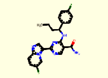 CCC[C@H](Nc1nc(-c2cnc3ccc(F)cn23)ncc1C(N)=O)c1ccc(F)cc1